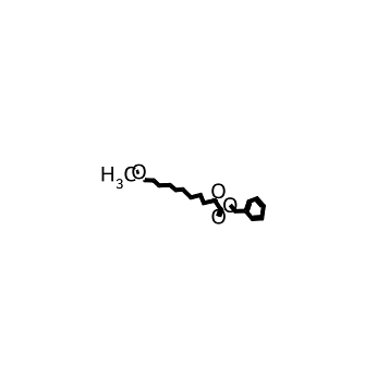 COCCCCCCCCCC(=O)C(=O)OCc1ccccc1